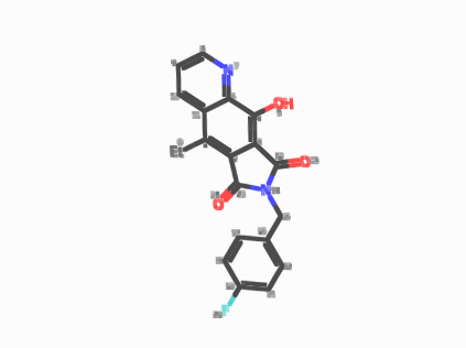 CCc1c2c(c(O)c3ncccc13)C(=O)N(Cc1ccc(F)cc1)C2=O